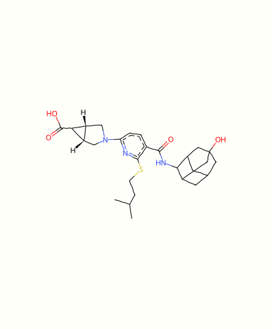 CC(C)CCSc1nc(N2C[C@@H]3C(C(=O)O)[C@@H]3C2)ccc1C(=O)NC1C2CC3CC1CC(O)(C3)C2